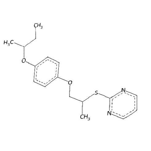 CCC(C)Oc1ccc(OCC(C)Sc2ncccn2)cc1